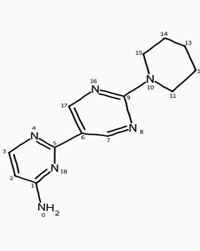 Nc1ccnc(-c2cnc(N3CCCCC3)nc2)n1